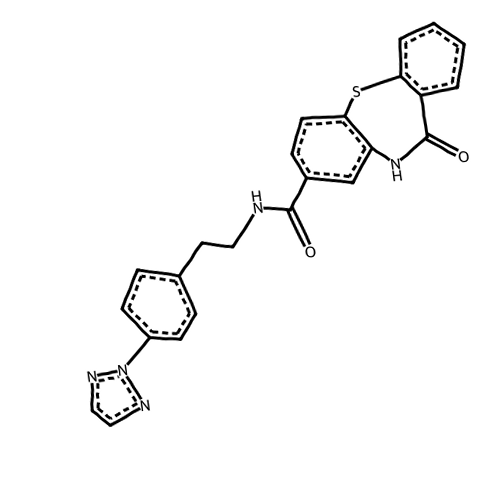 O=C(NCCc1ccc(-n2nccn2)cc1)c1ccc2c(c1)NC(=O)c1ccccc1S2